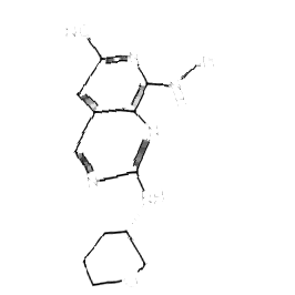 CC(C)Nc1nc(C#N)cc2cnc(N[C@H]3CCCOC3)nc12